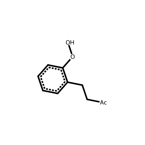 CC(=O)CCc1ccccc1OO